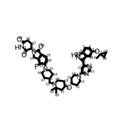 CC1(Oc2ccc3[nH]nc(-c4cc(N5CCC(O[C@H]6CCN(CC7CCN(c8ccc9c(c8F)CN(C8CCC(=O)NC8=O)C9=O)CC7)C(C)(C)C6)CC5)ncn4)c3c2)CC1